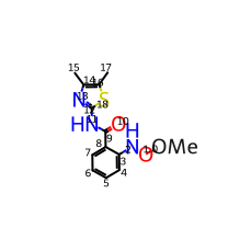 COONc1ccccc1C(=O)Nc1nc(C)c(C)s1